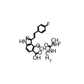 CNC(=O)NC.COc1c(C(=O)O)ccc2[nH]nc(/C=C/c3ccc(F)cc3)c12